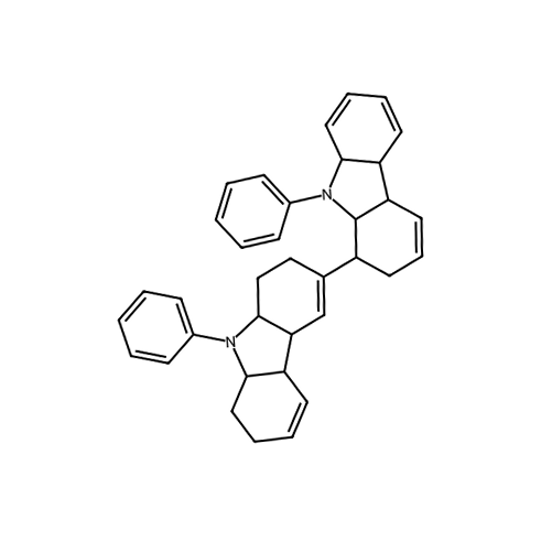 C1=CC2C3C=CCC(C4=CC5C6C=CCCC6N(c6ccccc6)C5CC4)C3N(c3ccccc3)C2C=C1